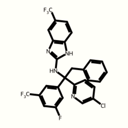 Fc1cc(C(F)(F)F)cc(C(Cc2ccccc2)(Nc2nc3cc(C(F)(F)F)ccc3[nH]2)c2ccc(Cl)cn2)c1